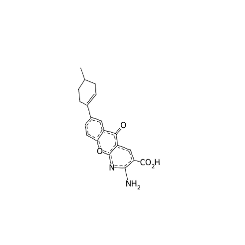 CC1CC=C(c2ccc3oc4nc(N)c(C(=O)O)cc4c(=O)c3c2)CC1